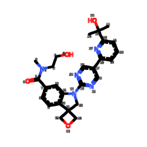 CN(CCO)C(=O)c1ccc2c(c1)N(c1ncc(-c3cccc(C(C)(C)O)n3)cn1)CC21COC1